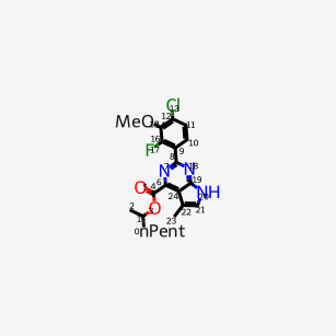 CCCCCC(C)OC(=O)c1nc(-c2ccc(Cl)c(OC)c2F)nc2[nH]cc(C)c12